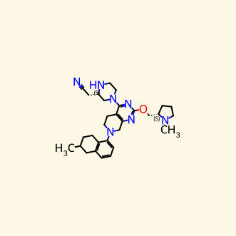 CC1CCc2c(cccc2N2CCc3c(nc(OC[C@@H]4CCCN4C)nc3N3CCN[C@@H](CC#N)C3)C2)C1